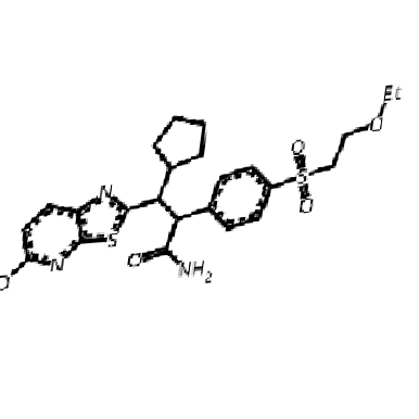 CCOCCS(=O)(=O)c1ccc(C(C(N)=O)C(c2nc3ccc(OC)nc3s2)C2CCCC2)cc1